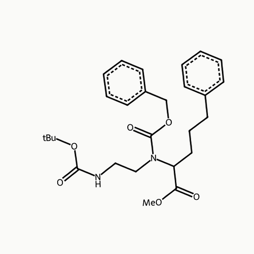 COC(=O)C(CCCc1ccccc1)N(CCNC(=O)OC(C)(C)C)C(=O)OCc1ccccc1